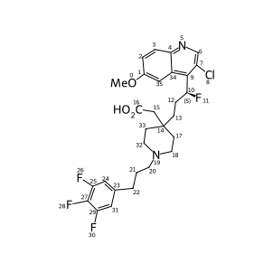 COc1ccc2ncc(Cl)c([C@@H](F)CCC3(CC(=O)O)CCN(CCCc4cc(F)c(F)c(F)c4)CC3)c2c1